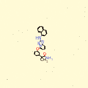 C=C(C(N)=O)c1cccc(Oc2cccc3nc(Nc4cccc5ccccc45)nn23)c1